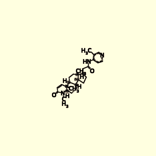 Cc1cnccc1NC(=O)C[C@H]1CC[C@H]2[C@@H]3CC[C@H]4N(C)C(=O)C=C[C@]4(C)[C@H]3CC[C@]12C